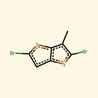 Cc1c(Br)sc2cc(Br)sc12